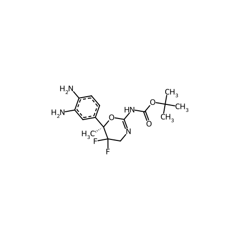 CC(C)(C)OC(=O)NC1=NCC(F)(F)[C@@](C)(c2ccc(N)c(N)c2)O1